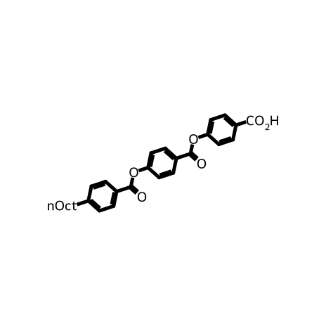 CCCCCCCCc1ccc(C(=O)Oc2ccc(C(=O)Oc3ccc(C(=O)O)cc3)cc2)cc1